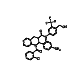 Nc1ccc(C2C(C(=O)Nc3ccc(CO)c(C(F)(F)F)c3)Cc3ccccc3N2C(=O)c2ccccc2Cl)cc1